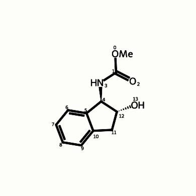 COC(=O)N[C@@H]1c2ccccc2C[C@H]1O